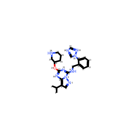 CC(C)c1cnn2c(NCc3ccccc3-n3cncn3)nc(OC3CCCNC3)nc12